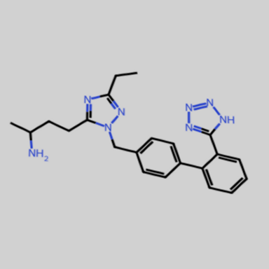 CCc1nc(CCC(C)N)n(Cc2ccc(-c3ccccc3-c3nnn[nH]3)cc2)n1